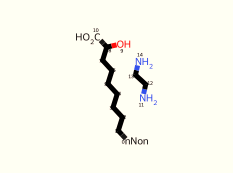 CCCCCCCCCCCCCCCCC(O)C(=O)O.NCCN